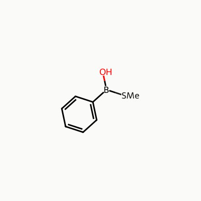 CSB(O)c1ccccc1